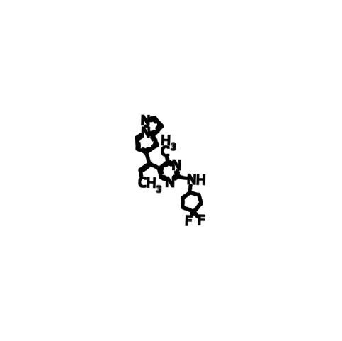 C/C=C(/c1ccn2nccc2c1)c1cnc(NC2CCC(F)(F)CC2)nc1C